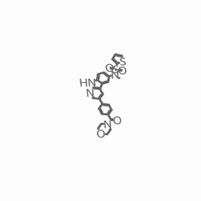 CN(c1ccc2[nH]c3ncc(-c4ccc(C(=O)N5CCOCC5)cc4)cc3c2c1)S(=O)(=O)c1cccs1